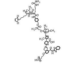 Cc1c(-c2ccc(N3CCc4c(OCCCS(=O)(=O)O)ccc(C(=O)Nc5nc6ccccc6s5)c4C3)nc2C(=O)O)cnn1CC12CC3(C)CC(C)(C1)CC(OCCN(C)C(=O)OCc1ccc(NC(=O)[C@H](CCCCNC(N)=O)NC(=O)[C@@H](NC(=O)CCCCCN4C(=O)C=CC4=O)C(C)C)cc1)(C3)C2